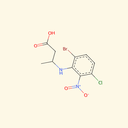 CC(CC(=O)O)Nc1c(Br)ccc(Cl)c1[N+](=O)[O-]